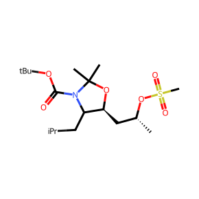 CC(C)CC1[C@H](C[C@@H](C)OS(C)(=O)=O)OC(C)(C)N1C(=O)OC(C)(C)C